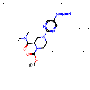 CN(C)C(=O)[C@H]1CN(c2ncc(N=[N+]=[N-])cn2)CCN1C(=O)OC(C)(C)C